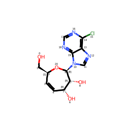 OC[C@@H]1C=C[C@@H](O)[C@@H](O)[C@H](n2cnc3c(Cl)ncnc32)O1